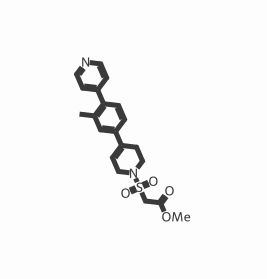 COC(=O)CS(=O)(=O)N1CC=C(c2ccc(-c3ccncc3)c(C)c2)CC1